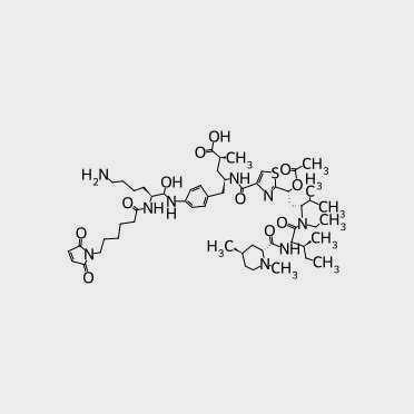 CC[C@H](C)[C@H](NC(=O)[C@H]1C[C@H](C)CCN1C)C(=O)N(CC)[C@H](C[C@@H](OC(C)=O)c1nc(C(=O)N[C@@H](Cc2ccc(NC(O)[C@H](CCCCN)NC(=O)CCCCCN3C(=O)C=CC3=O)cc2)C[C@H](C)C(=O)O)cs1)C(C)C